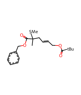 CSC(C)(C/C=C/COC(=O)C(C)(C)C)C(=O)OCc1ccccc1